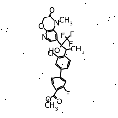 COC(=O)c1ccc(-c2ccc(C(C)C(O)(c3cnc4c(c3)N(C)C(=O)CO4)C(F)(F)F)c(Cl)c2)cc1F